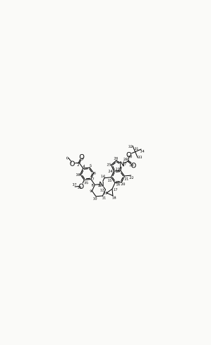 COC(=O)c1ccc(C2CCCCN2Cc2c(C3CC3)cc(C)c3c2ccn3C(=O)OC(C)(C)C)c(OC)c1